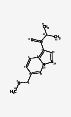 COCc1ccc2c(C(=O)C(C)C)cnn2c1